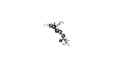 COCOc1c(-c2ccc3nc(N4CCC(N(C(=O)OC(C)(C)C)C5CCC5)C4)ccc3n2)cc2oc(C)nc2c1F